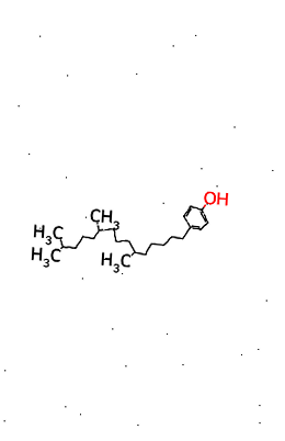 CC(C)CCCC(C)CCCC(C)CCCCCc1ccc(O)cc1